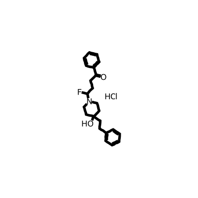 Cl.O=C(CCC(F)N1CCC(O)(CCc2ccccc2)CC1)c1ccccc1